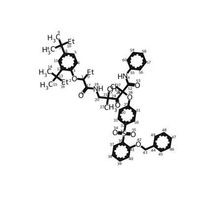 CCC(Oc1ccc(C(C)(C)CC)cc1C(C)(C)CC)C(=O)NCC(C)(C)C(=O)C(Cl)(Oc1ccc(S(=O)(=O)c2ccccc2OCc2ccccc2)cc1)C(=O)Nc1ccccc1